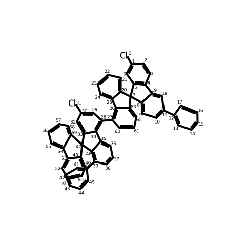 Clc1ccc2c(c1)C1(c3ccc(-c4ccccc4)cc3-2)c2ccccc2-c2c(-c3cc(Cl)cc4c3-c3cccc(-c5ccccc5)c3C43c4ccccc4-c4ccccc43)cccc21